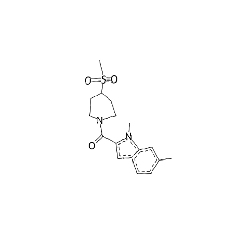 Cc1ccc2cc(C(=O)N3CCC(S(C)(=O)=O)CC3)n(C)c2c1